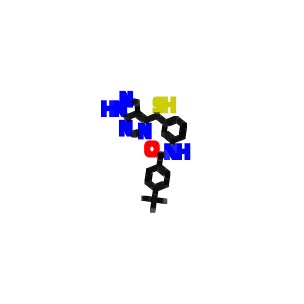 CC(C)(C)c1ccc(C(=O)Nc2cccc(C(S)c3ncnc4[nH]ncc34)c2)cc1